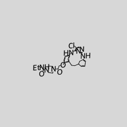 CCNC(=O)N1CCN(C(=O)COc2ccc3cc2CCC2C=CC=C(C2)Nc2ncc(Cl)c(n2)N3)CC1